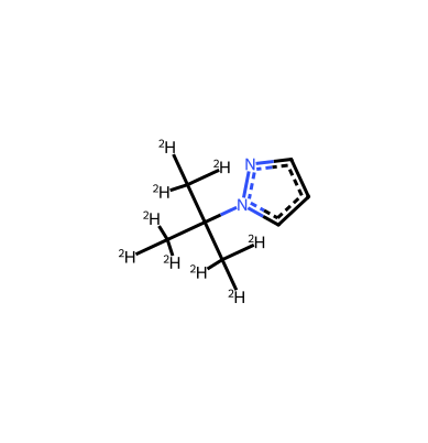 [2H]C([2H])([2H])C(n1cccn1)(C([2H])([2H])[2H])C([2H])([2H])[2H]